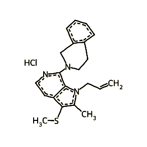 C=CCn1c(C)c(SC)c2ccnc(N3CCc4ccccc4C3)c21.Cl